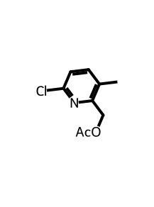 CC(=O)OCc1nc(Cl)ccc1C